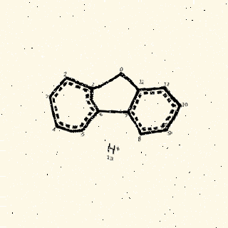 [CH]1c2ccccc2-c2ccccc21.[H+]